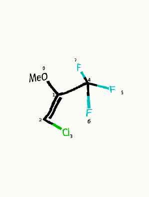 COC(=CCl)C(F)(F)F